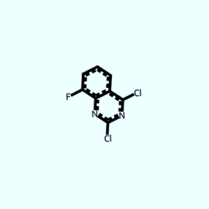 Fc1cccc2c(Cl)nc(Cl)nc12